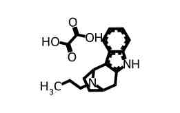 CCCN1C2CCC1c1c([nH]c3ccccc13)C2.O=C(O)C(=O)O